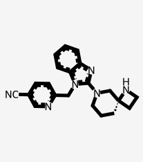 N#Cc1ccc(Cn2c(N3CCC[C@]4(CCN4)C3)nc3ccccc32)nc1